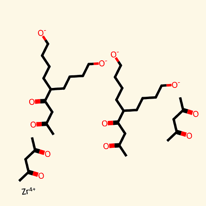 CC(=O)CC(=O)C(CCCC[O-])CCCC[O-].CC(=O)CC(=O)C(CCCC[O-])CCCC[O-].CC(=O)CC(C)=O.CC(=O)CC(C)=O.[Zr+4]